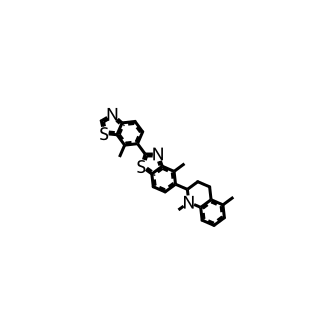 Cc1cccc2c1CCC(c1ccc3sc(-c4ccc5ncsc5c4C)nc3c1C)N2C